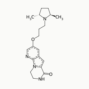 C[C@@H]1CC[C@@H](C)N1CCCOc1cnc2c(c1)cc1n2CCNC1=O